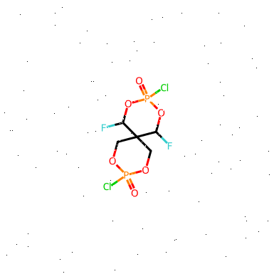 O=P1(Cl)OCC2(CO1)C(F)OP(=O)(Cl)OC2F